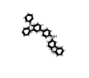 c1ccc(-n2c3ccccc3c3cc(-c4ccc(Nc5ccc6sc7ccccc7c6c5)cc4)ccc32)cc1